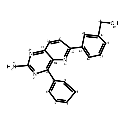 Nc1nc(-c2ccccc2)c2nc(-c3cccc(CO)c3)ccc2n1